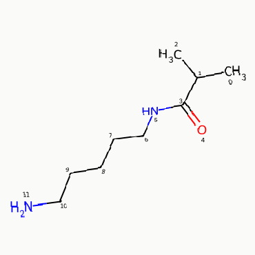 CC(C)C(=O)NCCCCCN